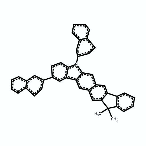 CC1(C)c2ccccc2-c2cc3cc4c(cc3cc21)c1cc(-c2ccc3ccccc3c2)ccc1n4-c1ccc2ccccc2c1